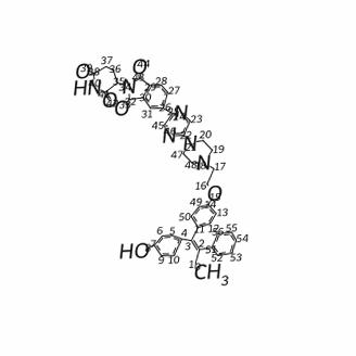 CC/C(=C(\c1ccc(O)cc1)c1ccc(OCCN2CCN(c3cnc(-c4ccc5c(c4)C(=O)N(C4CCC(=O)NC4=O)C5=O)cn3)CC2)cc1)c1ccccc1